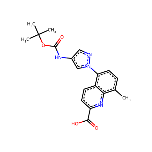 Cc1ccc(-n2cc(NC(=O)OC(C)(C)C)cn2)c2ccc(C(=O)O)nc12